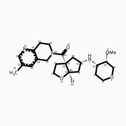 CO[C@@H]1COCC[C@@H]1N[C@@H]1C[C@H]2OCC[C@@]2(C(=O)N2CCc3ncc(C)cc3C2)C1